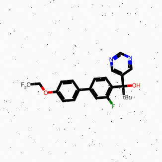 CC(C)(C)C(O)(c1cncnc1)c1ccc(-c2ccc(OCC(F)(F)F)cc2)cc1F